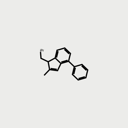 CC1=Cc2c(-c3ccccc3)cccc2C1CC(C)C